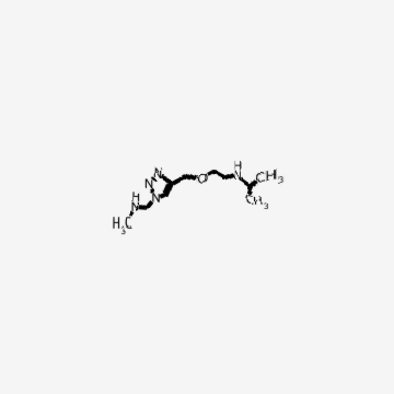 CNCn1cc(COCCNC(C)C)nn1